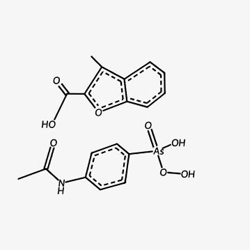 CC(=O)Nc1ccc([As](=O)(O)OO)cc1.Cc1c(C(=O)O)oc2ccccc12